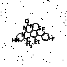 CCc1cc2c(N3CCNC[C@@H]3C)nc(=O)n3c2c(c1-c1ccc(F)cc1F)SCC3